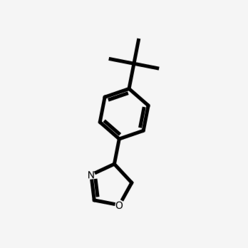 CC(C)(C)c1ccc(C2COC=N2)cc1